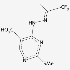 CSc1ncc(C(=O)O)c(NN=C(C)C(F)(F)F)n1